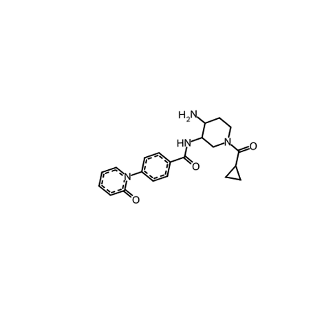 NC1CCN(C(=O)C2CC2)CC1NC(=O)c1ccc(-n2ccccc2=O)cc1